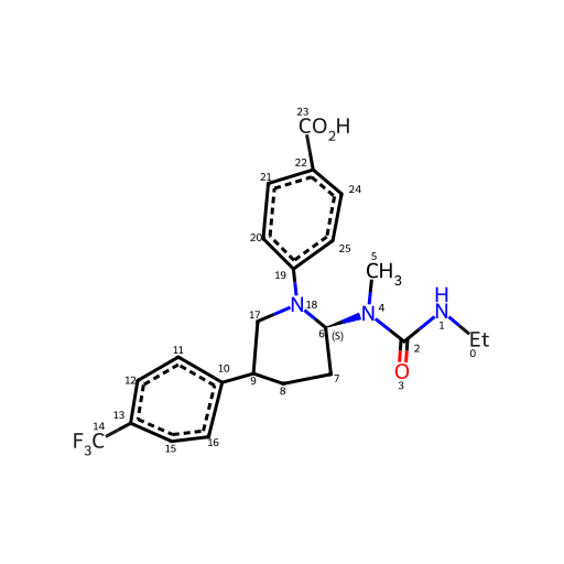 CCNC(=O)N(C)[C@H]1CCC(c2ccc(C(F)(F)F)cc2)CN1c1ccc(C(=O)O)cc1